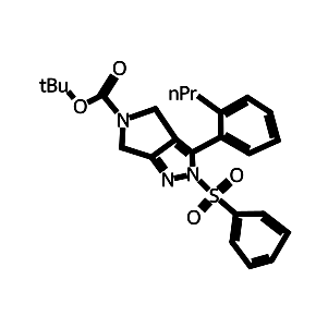 CCCc1ccccc1-c1c2c(nn1S(=O)(=O)c1ccccc1)CN(C(=O)OC(C)(C)C)C2